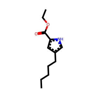 CCCCCc1c[nH]c(C(=O)OCC)c1